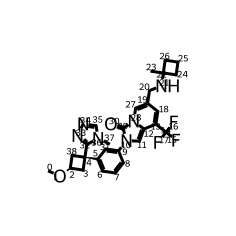 CO[C@H]1C[C@@](c2cccc(-n3cc4c(C(F)(F)F)cc(CNC5(C)CCC5)cn4c3=O)c2)(c2nncn2C)C1